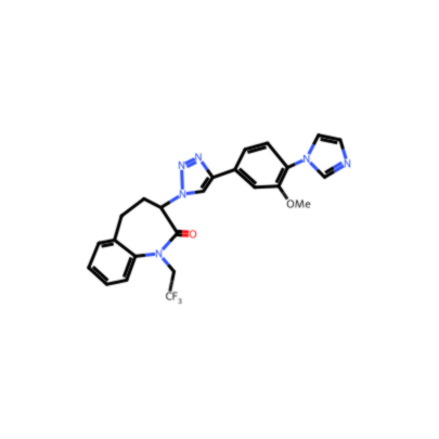 COc1cc(-c2cn(C3CCc4ccccc4N(CC(F)(F)F)C3=O)nn2)ccc1-n1ccnc1